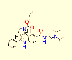 C=CCOC(=O)N1CC[C@H]2C(c3ccccc3)Nc3ccc(C(=O)NCCN(C(C)C)C(C)C)cc3[C@H]21